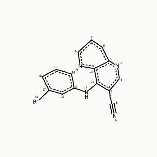 N#Cc1cnc2cccnc2c1Nc1cccc(Br)c1